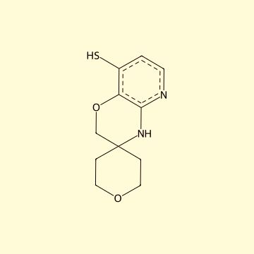 Sc1ccnc2c1OCC1(CCOCC1)N2